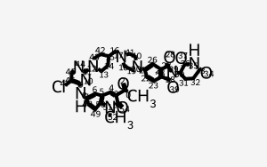 CC(=O)c1cc2cc(Nc3nc(N4CCC(CN5CCN(c6ccc7c(c6)C(=O)N(C6CCC(=O)NC6=O)C7=O)CC5)CC4)ncc3Cl)ccc2n(C)c1=O